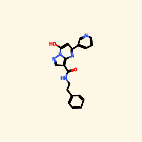 O=C(NCCc1ccccc1)c1cnn2c(O)cc(-c3cccnc3)nc12